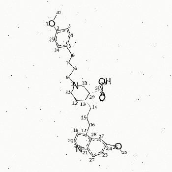 COc1ccc(CCCCN2CC[C@@H](CCCc3ccnc4ccc(OC)cc34)[C@@H](C(=O)O)C2)cc1